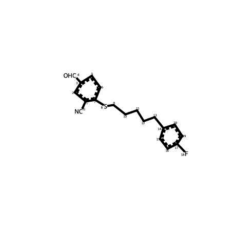 N#Cc1cc(C=O)ccc1SCCCCCc1ccc(F)cc1